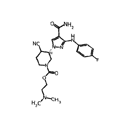 CN(C)CCOC(=O)N1CCC(C#N)[C@H](n2cc(C(N)=O)c(Nc3ccc(F)cc3)n2)C1